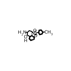 Cc1ccc(S(=O)(=O)N2CCC(N)C(O)c3ccccc32)cc1